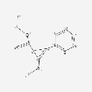 CCOC(=O)C1C(SI)=C1c1ccccc1